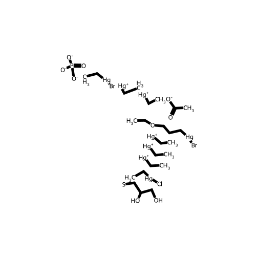 CC(=O)[O-].CCOCC[CH2][Hg][Br].C[CH2][Hg+].C[CH2][Hg+].C[CH2][Hg+].C[CH2][Hg+].C[CH2][Hg+].C[CH2][Hg][Br].C[CH2][Hg][Cl].O=P([O-])([O-])[O-].OCC(O)C[S-]